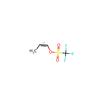 C/C=C\OS(=O)(=O)C(F)(F)F